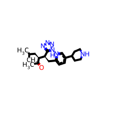 CC(=O)[C@@H](CC(C)C)[C@H](Cc1ccc(C2CCNCC2)cn1)c1nnn[nH]1